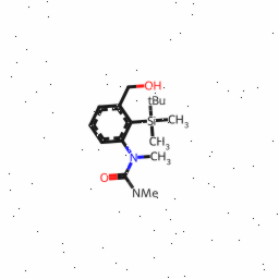 CNC(=O)N(C)c1cccc(CO)c1[Si](C)(C)C(C)(C)C